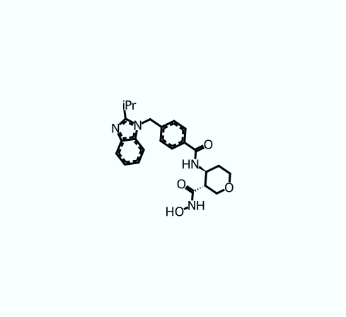 CC(C)c1nc2ccccc2n1Cc1ccc(C(=O)N[C@H]2CCOC[C@@H]2C(=O)NO)cc1